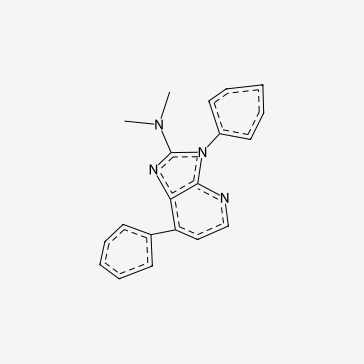 CN(C)c1nc2c(-c3ccccc3)ccnc2n1-c1ccccc1